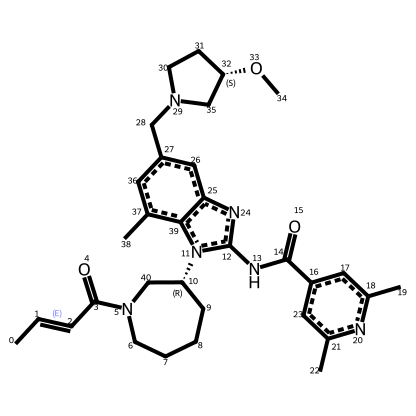 C/C=C/C(=O)N1CCCC[C@@H](n2c(NC(=O)c3cc(C)nc(C)c3)nc3cc(CN4CC[C@H](OC)C4)cc(C)c32)C1